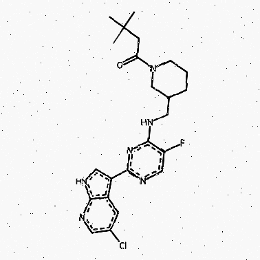 CC(C)(C)CC(=O)N1CCCC(CNc2nc(-c3c[nH]c4ncc(Cl)cc34)ncc2F)C1